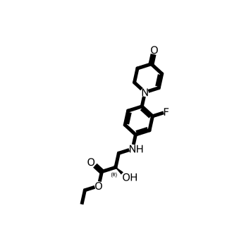 CCOC(=O)[C@H](O)CNc1ccc(N2C=CC(=O)CC2)c(F)c1